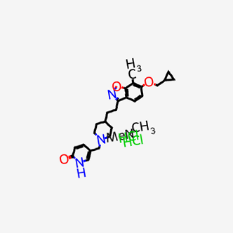 CNC.Cc1c(OCC2CC2)ccc2c(CCC3CCN(Cc4ccc(=O)[nH]c4)CC3)noc12.Cl.Cl